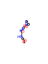 CN(CCN1CCC(OC(=O)Nc2ccccc2-c2ccccc2)CC1)C(=O)CCCCNc1ccc(C(=O)OC(C)(C)C)cc1